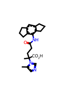 Cc1cncn1C(C)(CCC(=O)Nc1c2c(cc3c1CCC3)CCC2)C(=O)O